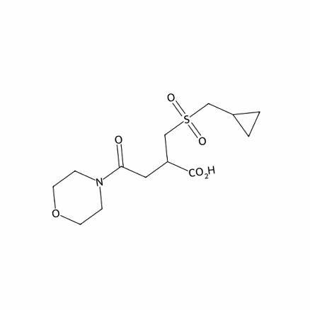 O=C(O)C(CC(=O)N1CCOCC1)CS(=O)(=O)CC1CC1